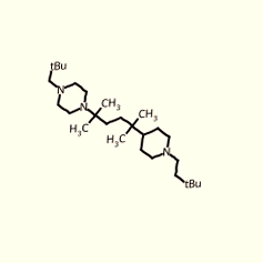 CC(C)(C)CCN1CCC(C(C)(C)CCC(C)(C)N2CCN(CC(C)(C)C)CC2)CC1